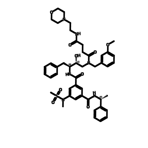 COc1cccc(CN(C[C@@H](O)[C@H](Cc2ccccc2)NC(=O)c2cc(C(=O)N[C@H](C)c3ccccc3)cc(N(C)S(C)(=O)=O)c2)C(=O)CCC(=O)NCCN2CCOCC2)c1